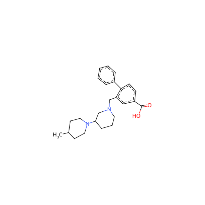 CC1CCN(C2CCCN(Cc3cc(C(=O)O)ccc3-c3ccccc3)C2)CC1